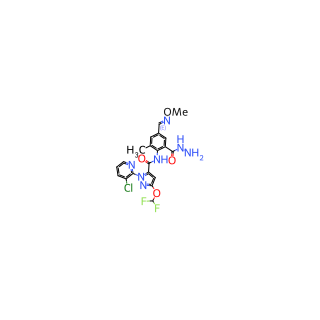 CO/N=C/c1cc(C)c(NC(=O)c2cc(OC(F)F)nn2-c2ncccc2Cl)c(C(=O)NN)c1